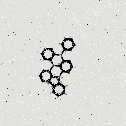 c1ccc(N2c3ccccc3B3c4c2cccc4-n2c4ccccc4c4cccc3c42)cc1